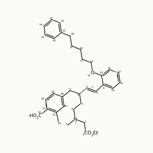 CCOC(=O)CN(C)CCC(/C=C/c1ccccc1OCCCCCc1ccccc1)Cc1ccc(C(=O)O)c(C)c1